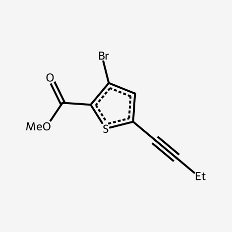 CCC#Cc1cc(Br)c(C(=O)OC)s1